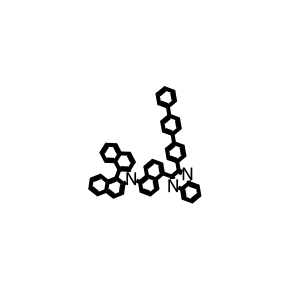 c1ccc(-c2ccc(-c3ccc(-c4nc5ccccc5nc4-c4cccc5c(-n6c7ccc8ccccc8c7c7c8ccccc8ccc76)cccc45)cc3)cc2)cc1